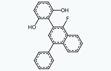 Oc1cccc(O)c1-c1cc(-c2ccccc2)c2ccccc2c1F